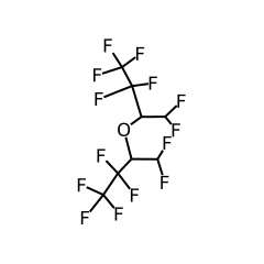 FC(F)C(OC(C(F)F)C(F)(F)C(F)(F)F)C(F)(F)C(F)(F)F